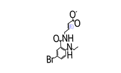 CCNc1ccc(Br)cc1C(=O)NC/C=C/C(=O)OC